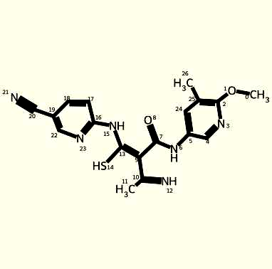 COc1ncc(NC(=O)/C(C(C)=N)=C(/S)Nc2ccc(C#N)cn2)cc1C